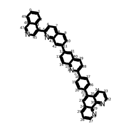 c1ccc2c(-c3ccc4ccc(-c5ccc6nc(-c7ccc(-c8cc9cccnc9c9ncccc89)cc7)ccc6c5)cc4n3)cncc2c1